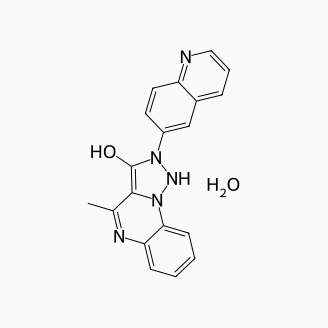 CC1=Nc2ccccc2N2NN(c3ccc4ncccc4c3)C(O)=C12.O